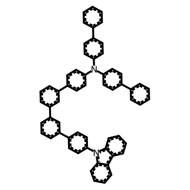 c1ccc(-c2ccc(N(c3ccc(-c4ccccc4)cc3)c3ccc(-c4cccc(-c5cccc(-c6ccc(-n7c8ccccc8c8ccccc87)cc6)c5)c4)cc3)cc2)cc1